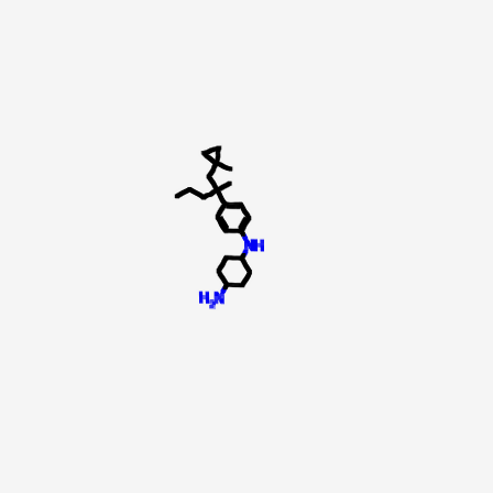 CCCC(C)(CC1(C)CC1)c1ccc(NC2CCC(N)CC2)cc1